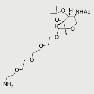 CC(=O)N[C@H]1CO[C@](C)(COCCOCCOCCOCCN)[C@@H]2OC(C)(C)O[C@H]12